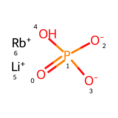 O=P([O-])([O-])O.[Li+].[Rb+]